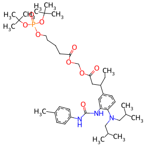 CCC(CC(=O)OCOC(=O)CCCCOP(=O)(OC(C)(C)C)OC(C)(C)C)c1ccc(N(CC(C)C)CC(C)C)c(NC(=O)Nc2ccc(C)cc2)c1